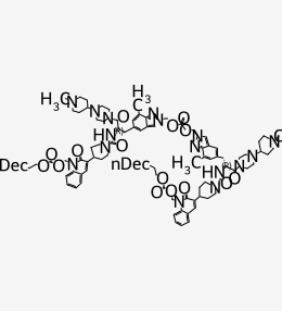 CCCCCCCCCCCCOC(=O)OCn1c(=O)c(C2CCN(C(=O)N[C@H](Cc3cc(C)c4nn(COC(=O)OCn5cc6cc(C[C@@H](NC(=O)N7CCC(c8cc9ccccc9n(COC(=O)OCCCCCCCCCCCC)c8=O)CC7)C(=O)N7CCN(C8CCN(C)CC8)CC7)cc(C)c6n5)cc4c3)C(=O)N3CCN(C4CCN(C)CC4)CC3)CC2)cc2ccccc21